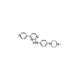 CN1CCN(c2ccc(Nc3nccc(-c4ccncc4)n3)cc2)CC1